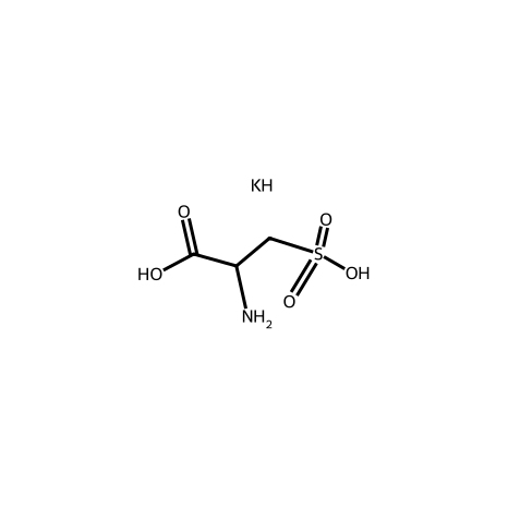 NC(CS(=O)(=O)O)C(=O)O.[KH]